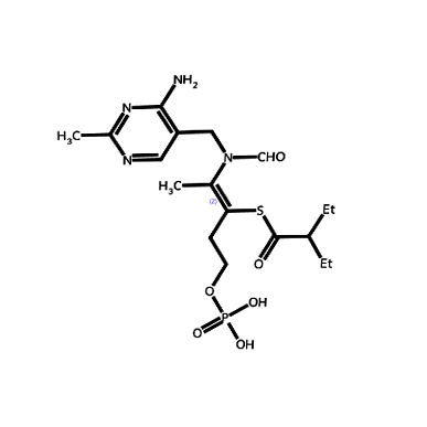 CCC(CC)C(=O)S/C(CCOP(=O)(O)O)=C(/C)N(C=O)Cc1cnc(C)nc1N